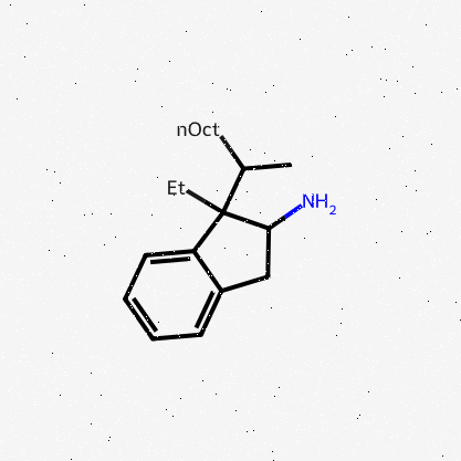 CCCCCCCCC(C)C1(CC)c2ccccc2CC1N